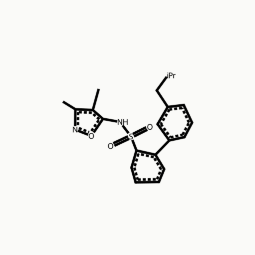 Cc1noc(NS(=O)(=O)c2ccccc2-c2cccc(CC(C)C)c2)c1C